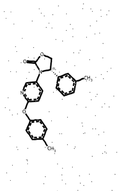 Cc1ccc(Oc2ccc(N3C(=O)OC[C@@H]3c3cccc(C)c3)cn2)cc1